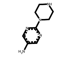 Nc1cnc(N2CCNCC2)nc1